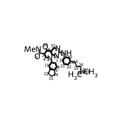 CNC(=O)c1cn(-c2ccc3c(c2)CCC3)c2nc(Nc3cccc(CCCN(C)C)c3)ncc2c1=O